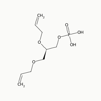 C=CCOC[C@H](COP(=O)(O)O)OCC=C